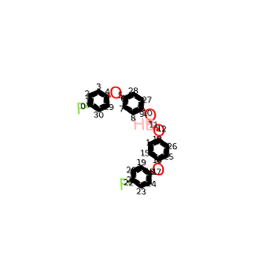 Fc1ccc(Oc2ccc(OBOc3ccc(Oc4ccc(F)cc4)cc3)cc2)cc1